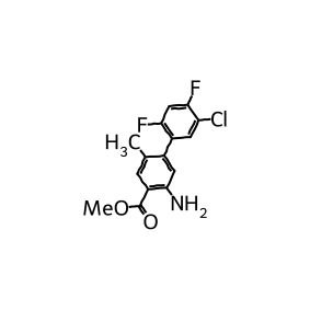 COC(=O)c1cc(C)c(-c2cc(Cl)c(F)cc2F)cc1N